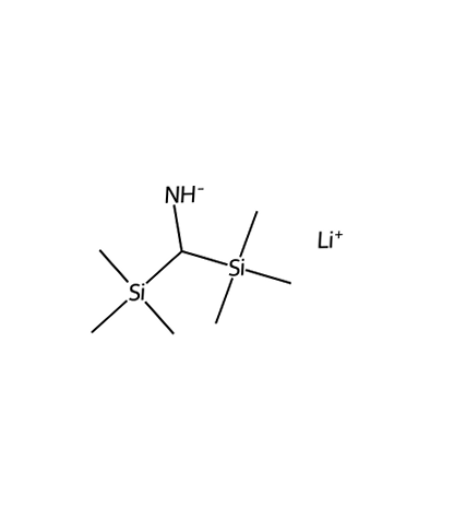 C[Si](C)(C)C([NH-])[Si](C)(C)C.[Li+]